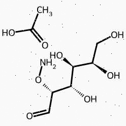 CC(=O)O.NO[C@@H](C=O)[C@@H](O)[C@@H](O)[C@H](O)CO